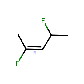 C/C(F)=C\C(C)F